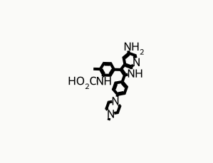 Cc1ccc(-c2c(-c3ccc(N4CCN(C)CC4)cc3)[nH]c3ncc(N)cc23)cc1NC(=O)O